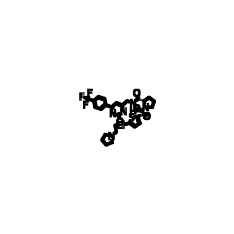 O=C(NCc1cc(-c2ccc(C(F)(F)F)cc2)nc(OCCN2CCCC2)n1)[C@@H]1CCCN1S(=O)(=O)c1ccc(Cl)s1